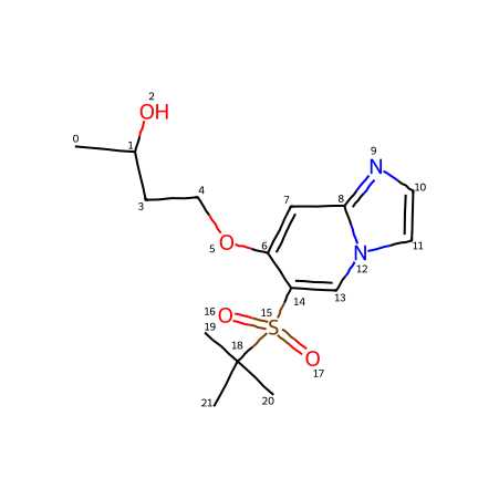 CC(O)CCOc1cc2nccn2cc1S(=O)(=O)C(C)(C)C